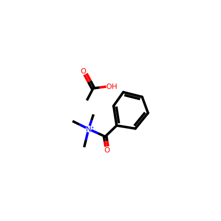 CC(=O)O.C[N+](C)(C)C(=O)c1ccccc1